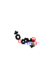 CC(C)(C)[S@@+]([O-])NC1(c2ccc3cc(O[C@H]4CC[C@H](C(C)(C)C)CC4)ccc3c2)COC1